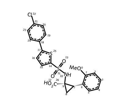 COc1ccccc1[C@@H]1C[C@]1(NS(=O)(=O)c1ccc(-c2ccc(Cl)cc2)s1)C(=O)O